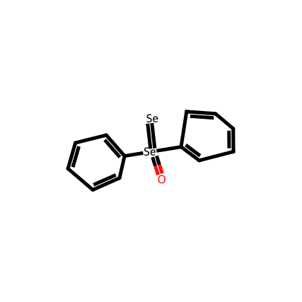 O=[Se](=[Se])(c1ccccc1)c1ccccc1